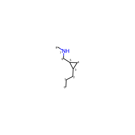 CCCC1CC1CNC